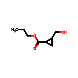 CCCOC(=O)C1CC1CO